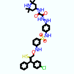 CC1(C)CC(NC(=O)C(=O)NNc2ccc(NS(=O)(=O)c3cccc(NOC/C(S)=C(/c4ccccc4)c4ccc(Cl)cc4)c3)cc2)CC(C)(C)N1